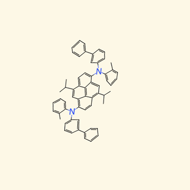 Cc1ccccc1N(c1cccc(-c2ccccc2)c1)c1ccc2c(C(C)C)cc3c(N(c4cccc(-c5ccccc5)c4)c4ccccc4C)ccc4c(C(C)C)cc1c2c43